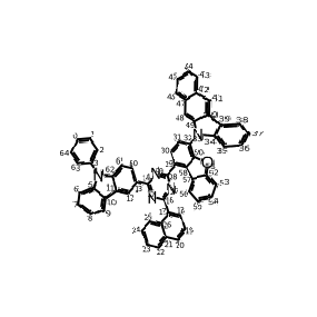 c1ccc(-n2c3ccccc3c3cc(-c4nc(-c5cccc6ccccc56)nc(-c5ccc(-n6c7ccccc7c7cc8ccccc8cc76)c6oc7ccccc7c56)n4)ccc32)cc1